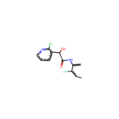 C=C(NC(=O)C(O)c1cccnc1Cl)/C(F)=C\C